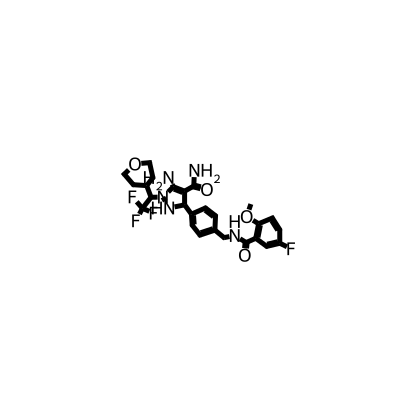 COc1ccc(F)cc1C(=O)NCc1ccc(C2NN(C(C3CCOCC3)C(F)(F)F)C(N)=C2C(N)=O)cc1